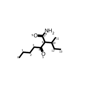 CCCCC(=O)C(C(N)=O)C(C)CC